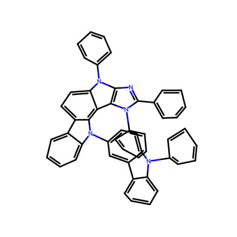 c1ccc(-c2nc3c(c4c(ccc5c6ccccc6n(-c6ccc7c(c6)c6ccccc6n7-c6ccccc6)c54)n3-c3ccccc3)n2-c2ccccc2)cc1